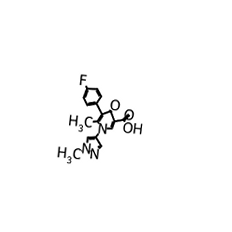 Cc1c(-c2ccc(F)cc2)c(=O)c(C(=O)O)cn1-c1cnn(C)c1